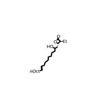 CCCCCCCCC=CCCCCCCCC(O)C[C@@H]1OC(=O)[C@H]1CC